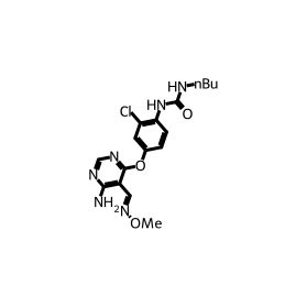 CCCCNC(=O)Nc1ccc(Oc2ncnc(N)c2/C=N/OC)cc1Cl